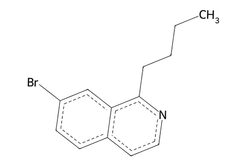 CCCCc1nccc2ccc(Br)cc12